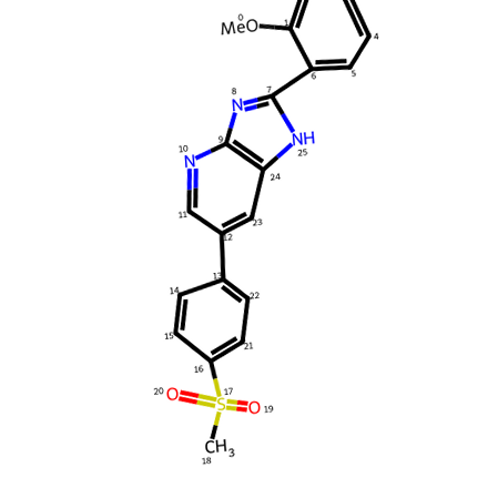 COc1ccccc1-c1nc2ncc(-c3ccc(S(C)(=O)=O)cc3)cc2[nH]1